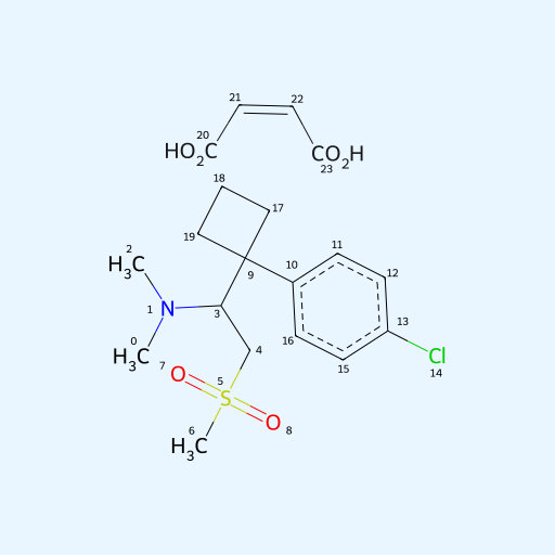 CN(C)C(CS(C)(=O)=O)C1(c2ccc(Cl)cc2)CCC1.O=C(O)/C=C\C(=O)O